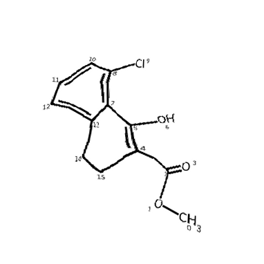 COC(=O)C1=C(O)c2c(Cl)cccc2CC1